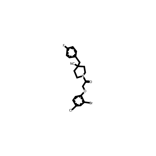 N#CC1(Cc2ccc(F)cc2)CCN(C(=O)COc2ccc(Cl)cc2Br)CC1